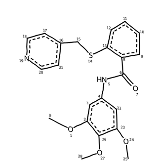 COc1cc(NC(=O)c2ccccc2SCc2ccncc2)cc(OC)c1OC